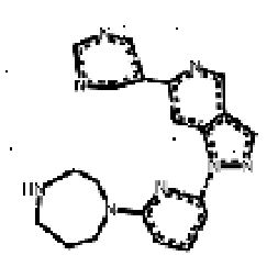 c1cc(N2CCCNCC2)nc(-n2ncc3cnc(-c4cncnc4)cc32)c1